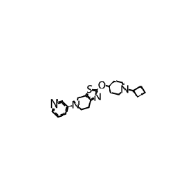 c1cncc(N2CCc3nc(OC4CCN(C5CCC5)CC4)sc3C2)c1